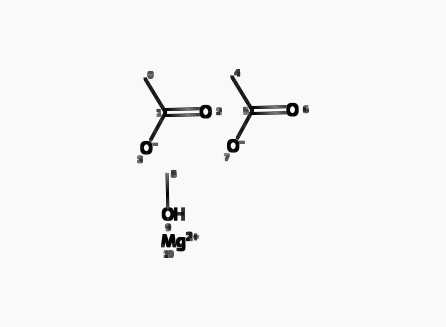 CC(=O)[O-].CC(=O)[O-].CO.[Mg+2]